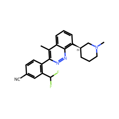 Cc1c(-c2ccc(C#N)cc2C(F)F)nnc2c([C@@H]3CCCN(C)C3)cccc12